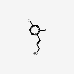 OCC=Cc1ccc(Cl)cc1F